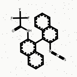 O=C(Nc1ccc2ccccc2c1-c1c(N=C=S)ccc2ccccc12)C(F)(F)F